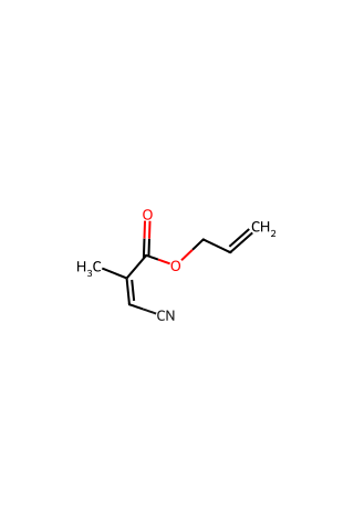 C=CCOC(=O)C(C)=CC#N